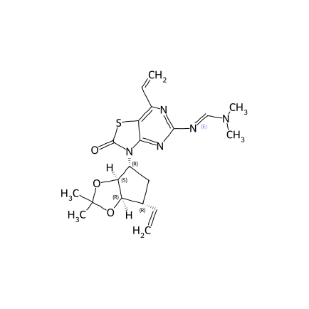 C=Cc1nc(/N=C/N(C)C)nc2c1sc(=O)n2[C@@H]1C[C@H](C=C)[C@H]2OC(C)(C)O[C@H]21